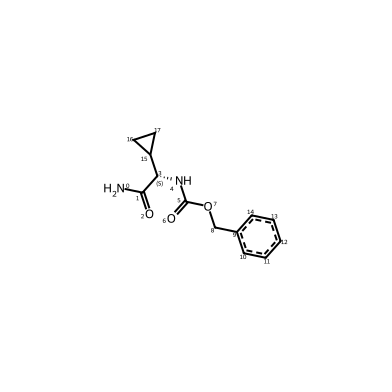 NC(=O)[C@@H](NC(=O)OCc1ccccc1)C1CC1